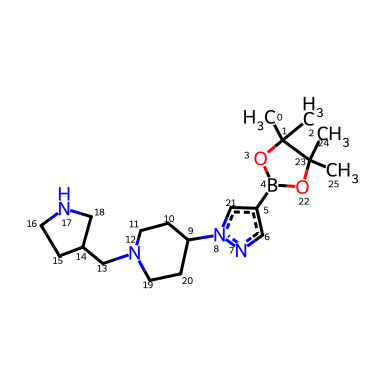 CC1(C)OB(c2cnn(C3CCN(CC4CCNC4)CC3)c2)OC1(C)C